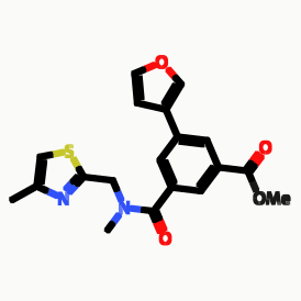 COC(=O)c1cc(C(=O)N(C)Cc2nc(C)cs2)cc(-c2ccoc2)c1